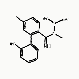 Cc1ccc(C(=N)N(C)P(C(C)C)C(C)C)c(-c2ccccc2C(C)C)c1